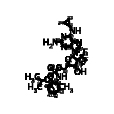 CC(C)OC(=O)[C@@H](C)NP(=O)(OC[C@H]1O[C@@H](n2cnc3c(NC4CC4)nc(N)nc32)[C@@](F)(C(F)(F)F)[C@@H]1O)Oc1ccccc1